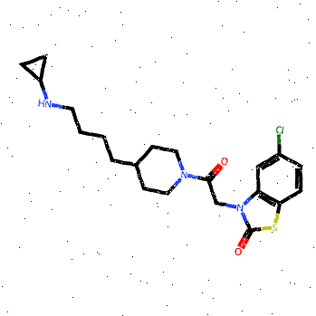 O=C(Cn1c(=O)sc2ccc(Cl)cc21)N1CCC(CCCCNC2CC2)CC1